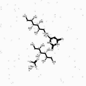 Nc1cc(=O)[nH]c(=O)[nH]1.O=C([O-])[O-].OC[C@@H](O)[C@@H](O)[C@H](O)[C@H](O)CO.OC[C@@H](O)[C@@H](O)[C@H](O)[C@H](O)CO.[Na+].[Na+]